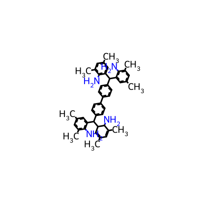 CC1=CC(C(c2ccc(-c3ccc(C(c4cc(C)cc(C)c4N)c4cc(C)cc(C)c4N)cc3)cc2)c2cc(C)cc(C)c2N)C(N)C(C)=C1